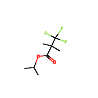 CC(C)OC(=O)C(C)(C)C(F)(F)F